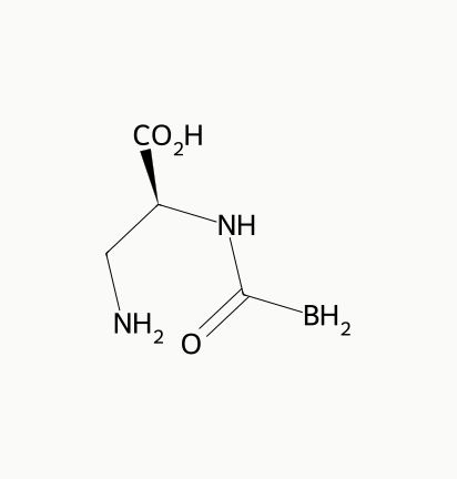 BC(=O)N[C@@H](CN)C(=O)O